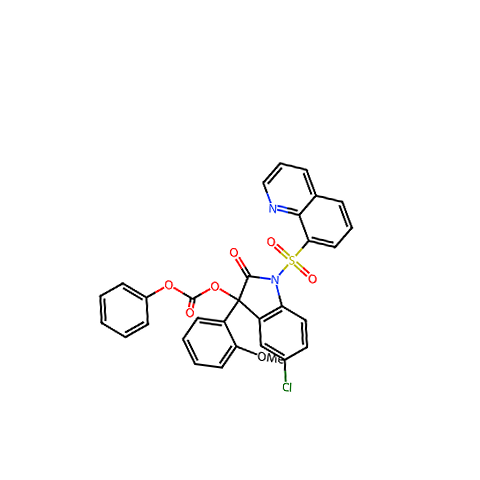 COc1ccccc1C1(OC(=O)Oc2ccccc2)C(=O)N(S(=O)(=O)c2cccc3cccnc23)c2ccc(Cl)cc21